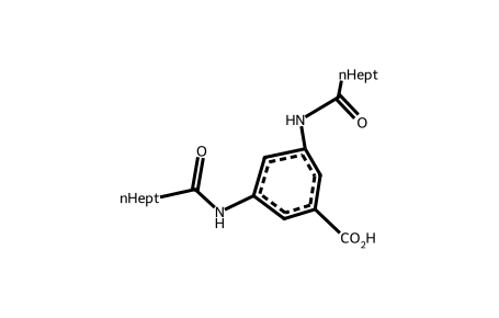 CCCCCCCC(=O)Nc1cc(NC(=O)CCCCCCC)cc(C(=O)O)c1